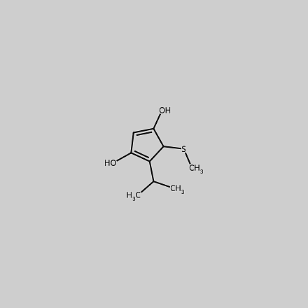 CSC1C(O)=CC(O)=C1C(C)C